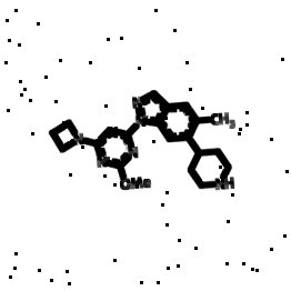 COc1nc(N2CCC2)cc(-n2ncc3cc(C)c(C4CCNCC4)cc32)n1